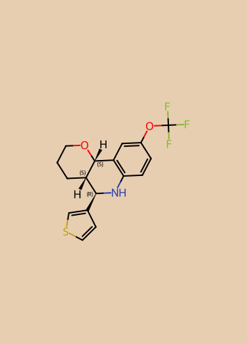 FC(F)(F)Oc1ccc2c(c1)[C@H]1OCCC[C@H]1[C@H](c1ccsc1)N2